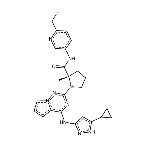 C[C@@]1(C(=O)Nc2ccc(CF)nc2)CCCN1c1nc(Nc2cc(C3CC3)[nH]n2)c2cccn2n1